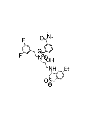 CCc1ccc2c(c1)[C@@H](NC[C@@H](O)CN(CCc1cc(F)cc(F)c1)S(=O)(=O)c1cccc(C(=O)N(C)C)c1)CS(=O)(=O)C2